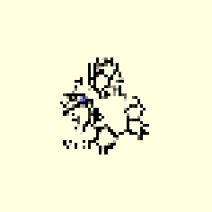 COc1ncc(C2=NOC3COCC23)cc1C(=O)N[C@H]1[C@@H](C(=O)N[C@H](C)C2(C)CC2)[C@H]2CC[C@@H]1/C2=C\C1CC1